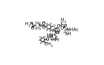 CC(=O)NC(CS)C(=O)OC(C)OC(=O)C(Cc1ccc(OC(=O)N2CCC(C(N)=O)CC2)cc1)NC(=O)C(CC(C)C)NC(=O)COc1ccccc1C